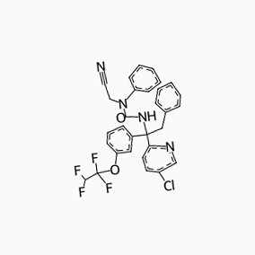 N#CCN(C(=O)NC(Cc1ccccc1)(c1cccc(OC(F)(F)C(F)F)c1)c1ccc(Cl)cn1)c1ccccc1